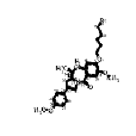 C=C1Nc2cc(OCCCCCBr)c(OC)cc2C(=O)N2C=C(c3ccc(OC)cc3)C[C@@H]12